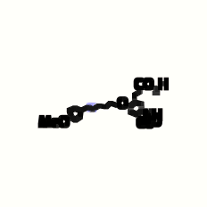 COc1ccc(/C=C/CCCCOc2ccc(NS(C)(=O)=O)cc2CCC(=O)O)cc1